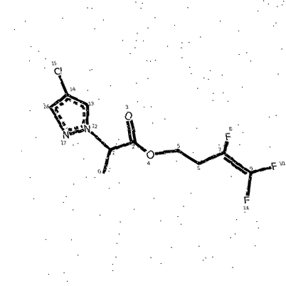 CC(C(=O)OCCC(F)=C(F)F)n1cc(Cl)cn1